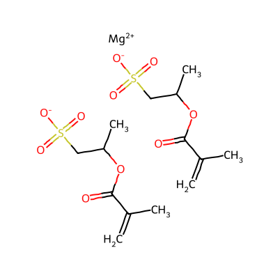 C=C(C)C(=O)OC(C)CS(=O)(=O)[O-].C=C(C)C(=O)OC(C)CS(=O)(=O)[O-].[Mg+2]